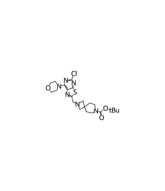 CC(C)(C)OC(=O)N1CCC2(CC1)CN(Cc1nc3c(N4CCOCC4)nc(Cl)nc3s1)C2